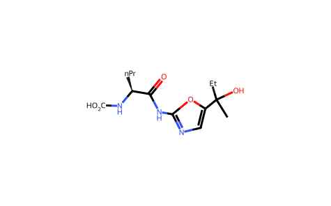 CCC[C@H](NC(=O)O)C(=O)Nc1ncc(C(C)(O)CC)o1